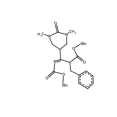 CN1CN(C(=NC(=O)OC(C)(C)C)N(Cc2ccccc2)C(=O)OC(C)(C)C)CN(C)C1=O